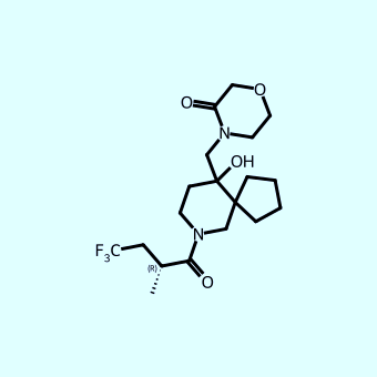 C[C@H](CC(F)(F)F)C(=O)N1CCC(O)(CN2CCOCC2=O)C2(CCCC2)C1